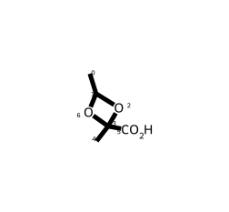 CC1OC(C)(C(=O)O)O1